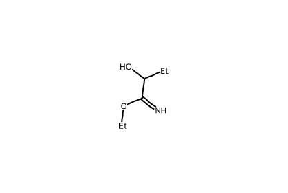 CCOC(=N)C(O)CC